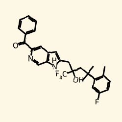 Cc1ccc(F)cc1C(C)(C)CC(O)(Cc1cc2cc(C(=O)c3ccccc3)ncc2[nH]1)C(F)(F)F